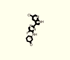 O=C1CCC[C@H](Nc2nc(-c3c[nH]c4ncc(Cl)cc34)ncc2F)C1